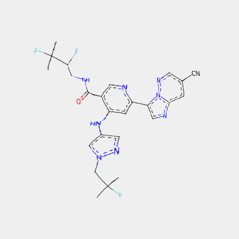 CC(C)(F)Cn1cc(Nc2cc(-c3cnc4cc(C#N)cnn34)ncc2C(=O)NCC(F)C(C)(C)F)cn1